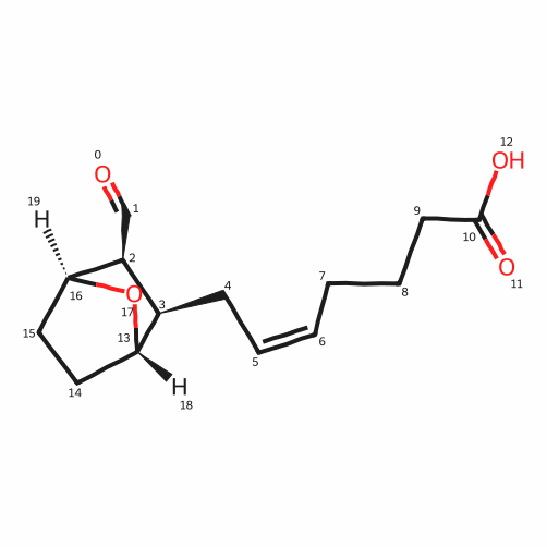 O=C[C@H]1[C@@H](C/C=C\CCCC(=O)O)[C@@H]2CC[C@@H]1O2